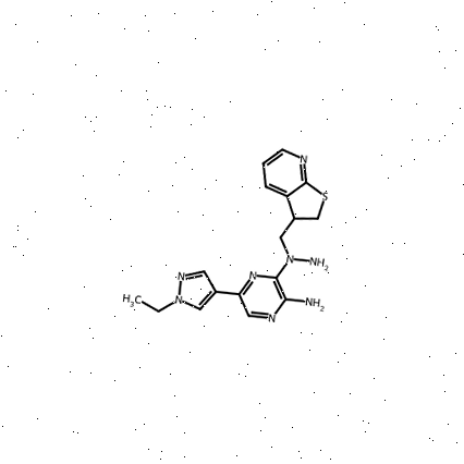 CCn1cc(-c2cnc(N)c(N(N)CC3CSc4ncccc43)n2)cn1